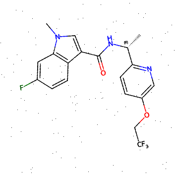 C[C@@H](NC(=O)c1cn(C)c2cc(F)ccc12)c1ccc(OCC(F)(F)F)cn1